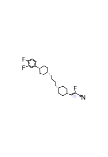 N#C/C(F)=C/[C@H]1CC[C@H](CCCC[C@H]2CC[C@H](c3ccc(F)c(F)c3)CC2)CC1